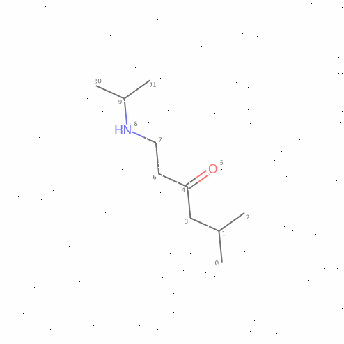 CC(C)CC(=O)CCNC(C)C